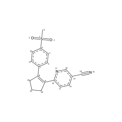 CS(=O)(=O)c1ccc(C2=C(c3ccc(C#N)cn3)CCC2)cc1